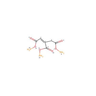 O=C(/C=C(/CC(=O)OP)C(=O)OP)OP